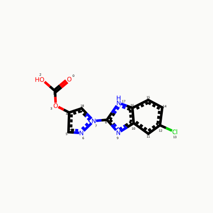 O=C(O)Oc1cnn(-c2nc3cc(Cl)ccc3[nH]2)c1